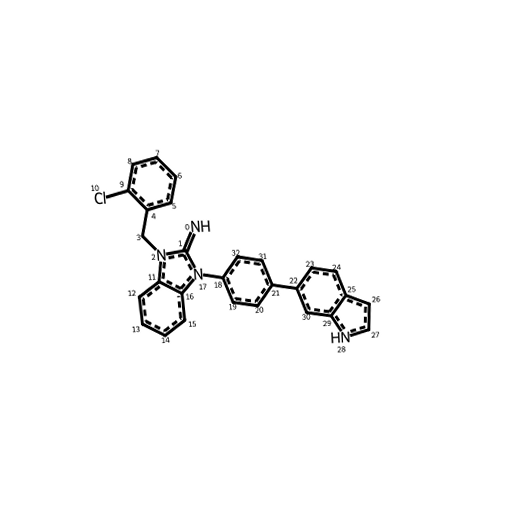 N=c1n(Cc2ccccc2Cl)c2ccccc2n1-c1ccc(-c2ccc3cc[nH]c3c2)cc1